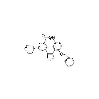 O=C(O)c1cc(C2=C(c3cc(Cl)ccc3OCc3ccccc3)C=CC2)cc(N2CCOCC2)c1